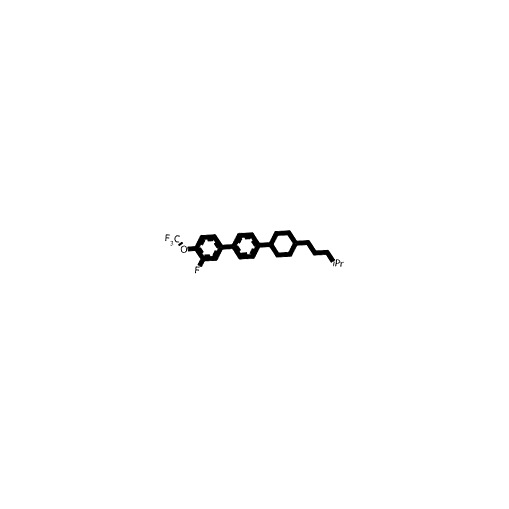 CC(C)CCCC1CCC(c2ccc(-c3ccc(OC(F)(F)F)c(F)c3)cc2)CC1